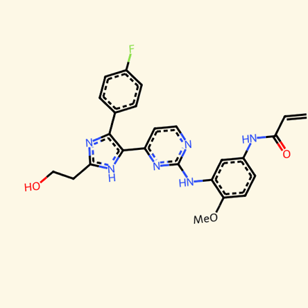 C=CC(=O)Nc1ccc(OC)c(Nc2nccc(-c3[nH]c(CCO)nc3-c3ccc(F)cc3)n2)c1